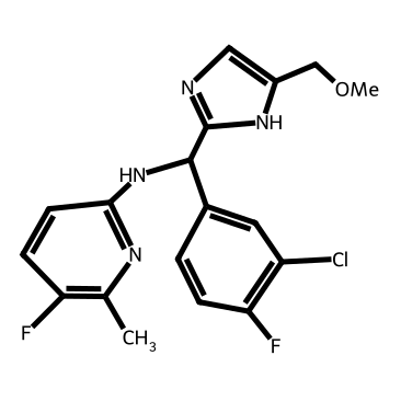 COCc1cnc(C(Nc2ccc(F)c(C)n2)c2ccc(F)c(Cl)c2)[nH]1